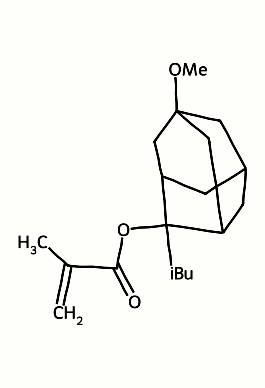 C=C(C)C(=O)OC1(C(C)CC)C2CC3CC1CC(OC)(C3)C2